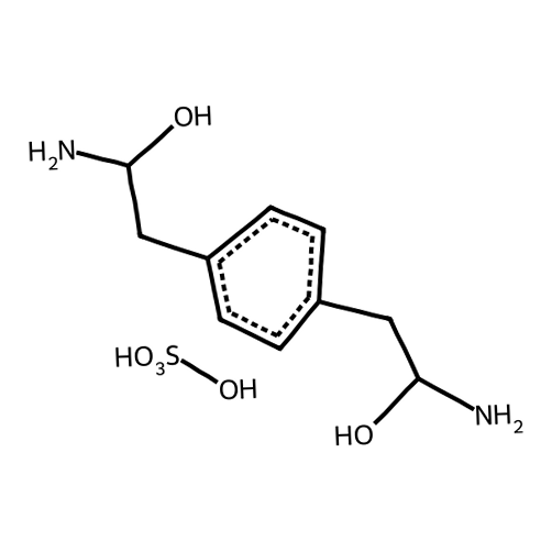 NC(O)Cc1ccc(CC(N)O)cc1.O=S(=O)(O)O